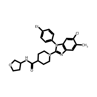 CCc1ccc(-n2c(N3CCC(C(=O)NC4CCOC4)CC3)nc3cc(C)c(Cl)cc32)cc1